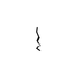 [CH2]CSC=CCC